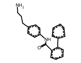 NCCCc1ccc(NC(=O)c2ccccc2-c2ccccc2)cc1